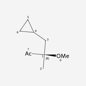 CO[C@](C)(CC1CC1)C(C)=O